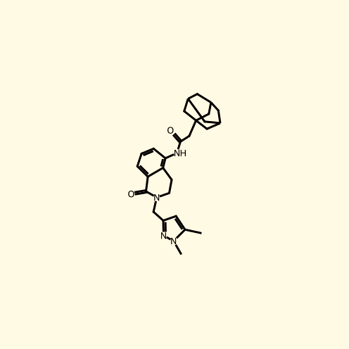 Cc1cc(CN2CCc3c(NC(=O)CC45CC6CC(CC(C6)C4)C5)cccc3C2=O)nn1C